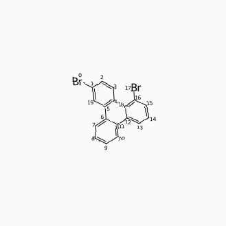 Brc1cccc(-c2ccccc2-c2cccc(Br)c2)c1